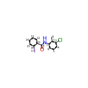 Cc1c(Cl)cccc1NC(=O)c1ccccc1I